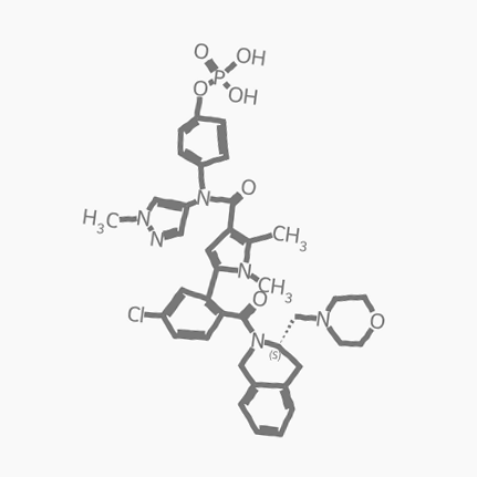 Cc1c(C(=O)N(c2ccc(OP(=O)(O)O)cc2)c2cnn(C)c2)cc(-c2cc(Cl)ccc2C(=O)N2Cc3ccccc3C[C@H]2CN2CCOCC2)n1C